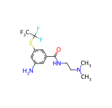 CN(C)CCNC(=O)c1cc(N)cc(SC(F)(F)C(F)(F)F)c1